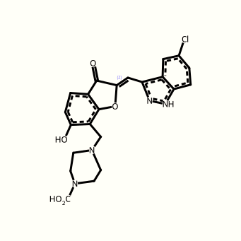 O=C1/C(=C/c2n[nH]c3ccc(Cl)cc23)Oc2c1ccc(O)c2CN1CCN(C(=O)O)CC1